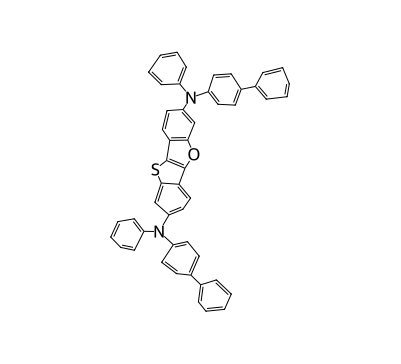 c1ccc(-c2ccc(N(c3ccccc3)c3ccc4c(c3)oc3c5ccc(N(c6ccccc6)c6ccc(-c7ccccc7)cc6)cc5sc43)cc2)cc1